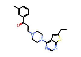 CCc1cc2c(N3CCN(C=CC(=O)c4cccc(C)c4)CC3)ncnc2s1